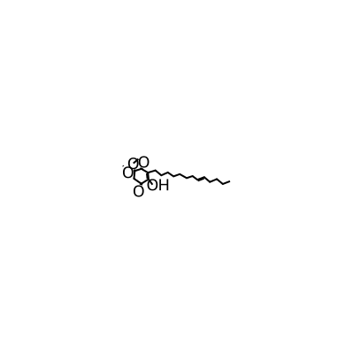 CCCCC=CCCCCCCCC1=C(O)C(=O)CC(OC)(OC)C1=O